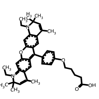 CCN1c2cc3c(cc2C(C)=CC1(C)C)C(c1ccc(OCCCCC(=O)O)cc1)=c1cc2c(cc1O3)=[N+](CC)C(C)(C)C=C2C